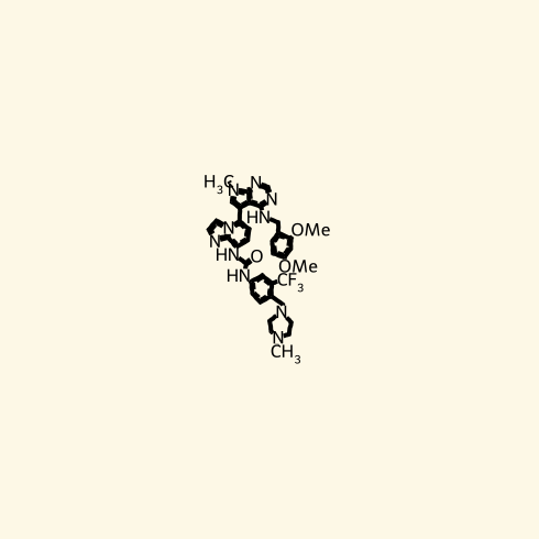 COc1ccc(CNc2ncnc3c2c(-c2ccc(NC(=O)Nc4ccc(CN5CCN(C)CC5)c(C(F)(F)F)c4)c4nccn24)cn3C)c(OC)c1